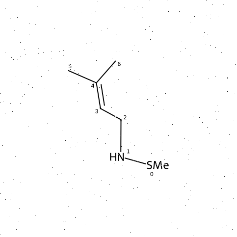 CSNCC=C(C)C